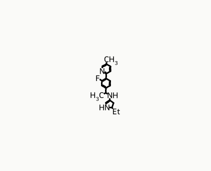 CCC1CC(NC(C)c2ccc(-c3ccc(C)cn3)c(F)c2)=CN1